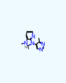 Cc1ncncc1N1c2ncccc2N(C)[C@@H]1C